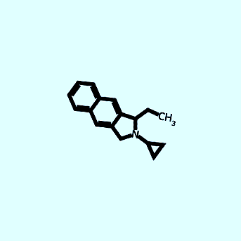 CCC1c2cc3ccccc3cc2CN1C1CC1